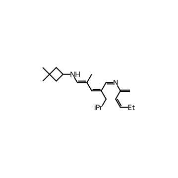 C=C(/C=C\CC)\N=C/C(=C\C(C)=C\NC1CC(C)(C)C1)CC(C)C